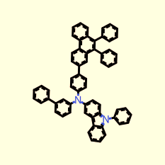 c1ccc(-c2cccc(N(c3ccc(-c4ccc5c(c4)c(-c4ccccc4)c(-c4ccccc4)c4ccccc45)cc3)c3ccc4c(c3)c3ccccc3n4-c3ccccc3)c2)cc1